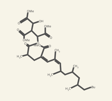 CCC(C)CC(C)CC(C)CC(C)C=C(C)C=C(CC(C)C(=O)OC(C(=O)OC)C(C(=O)OC)C(O)C(=O)OC)C(=O)OC